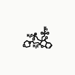 CC1(CCCN2CCOCC2)Oc2ccccc2C(=O)C1(CCS(C)(=O)=O)CCS(C)(=O)=O